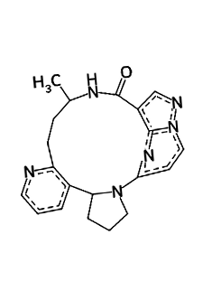 CC1CCc2ncccc2C2CCCN2c2ccn3ncc(c3n2)C(=O)N1